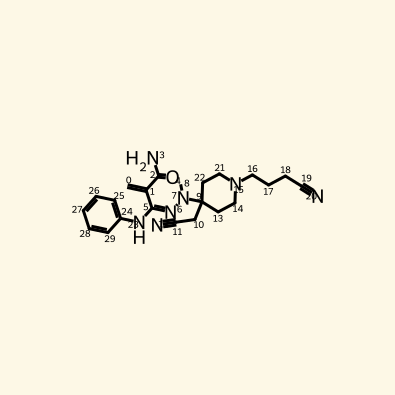 C=C(C(N)=O)/C(=N\N(C)C1(CC#N)CCN(CCCC#N)CC1)Nc1ccccc1